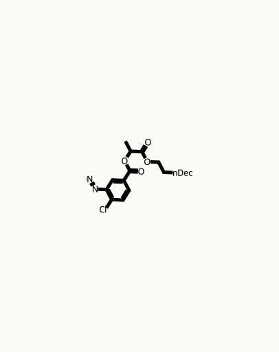 CCCCCCCCCCCCOC(=O)C(C)OC(=O)c1ccc(Cl)c(N=[N])c1